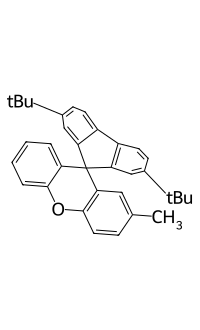 Cc1ccc2c(c1)C1(c3ccccc3O2)c2cc(C(C)(C)C)ccc2-c2ccc(C(C)(C)C)cc21